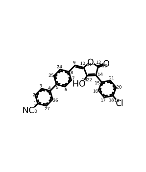 N#Cc1ccc(-c2ccc(C=C3OC(=O)C(c4ccc(Cl)cc4)=C3O)cc2)cc1